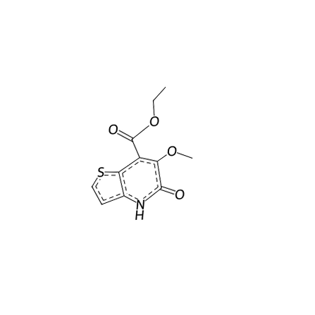 CCOC(=O)c1c(OC)c(=O)[nH]c2ccsc12